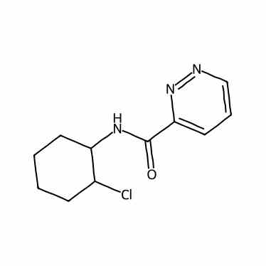 O=C(NC1CCCCC1Cl)c1cccnn1